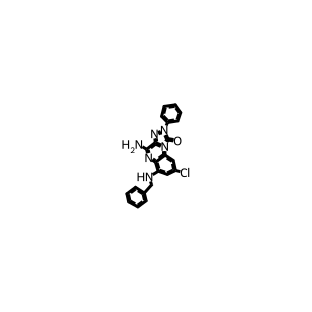 Nc1nc2c(NCc3ccccc3)cc(Cl)cc2n2c(=O)n(-c3ccccc3)nc12